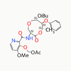 COc1ccnc(C(=O)N[C@H]2COC[C@H](OCC(C)C)[C@@H](Oc3ccccc3)[C@H](C)OC2=O)c1OCOC(C)=O